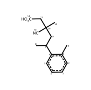 Cc1ccccc1C(C)CC(C)(C#N)CC(=O)O